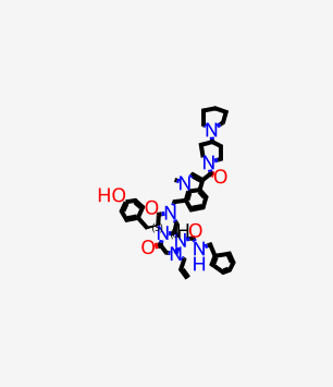 C=CCN1CC(=O)N2[C@@H](Cc3ccc(O)cc3)C(=O)N(Cc3cccc4c(C(=O)N5CCC(N6CCCCC6)CC5)cn(C)c34)C[C@@H]2N1C(=O)NCc1ccccc1